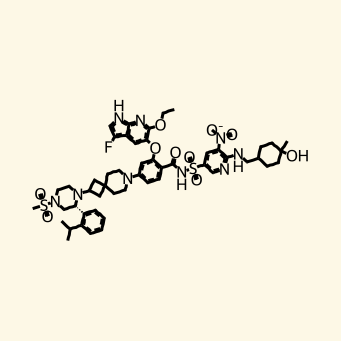 CCOc1nc2[nH]cc(F)c2cc1Oc1cc(N2CCC3(CC2)CC(N2CCN(S(C)(=O)=O)C[C@H]2c2ccccc2C(C)C)C3)ccc1C(=O)NS(=O)(=O)c1cnc(NCC2CCC(C)(O)CC2)c([N+](=O)[O-])c1